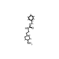 NC1CCN(CCNC(=O)OCc2ccccc2)CC1